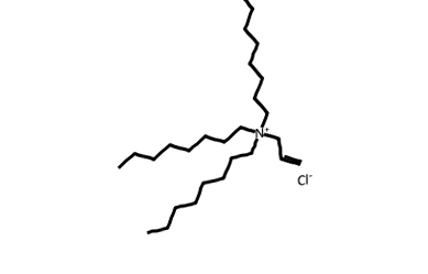 C=CC[N+](CCCCCCCC)(CCCCCCCC)CCCCCCCC.[Cl-]